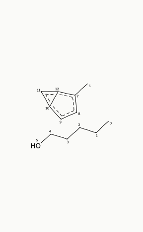 CCCCCO.Cc1ccc2cc1-2